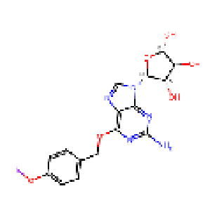 Nc1nc(OCc2ccc(OI)cc2)c2ncn([C@@H]3O[C@H](O)C(O)[C@@H]3O)c2n1